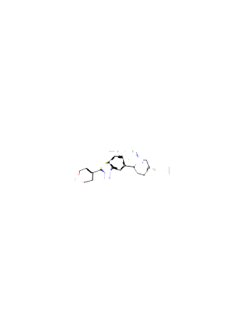 C[C@H]1CCC(c2ccc3sc(C4=CCOCC4)nc3c2)N(C(=O)O)C1